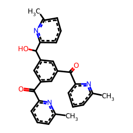 Cc1cccc(C(=O)c2cc(C(=O)c3cccc(C)n3)cc(C(O)c3cccc(C)n3)c2)n1